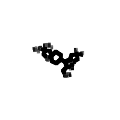 CC1(C)COC2(CCC(c3c(CO)nn4c3CC(F)(F)C4)CC2)C1